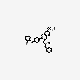 O=C(O)c1ccc(CN(C[C@H](O)Cc2ccccc2)C(=O)c2ccc(Oc3ccccc3F)cc2)cc1